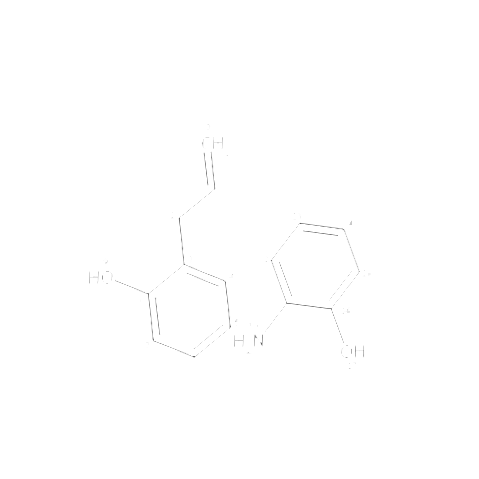 C=CCc1ccccc1O.Nc1ccccc1O